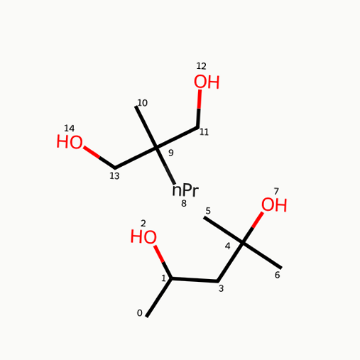 CC(O)CC(C)(C)O.CCCC(C)(CO)CO